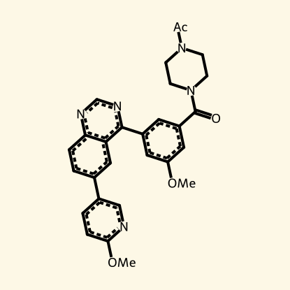 COc1cc(C(=O)N2CCN(C(C)=O)CC2)cc(-c2ncnc3ccc(-c4ccc(OC)nc4)cc23)c1